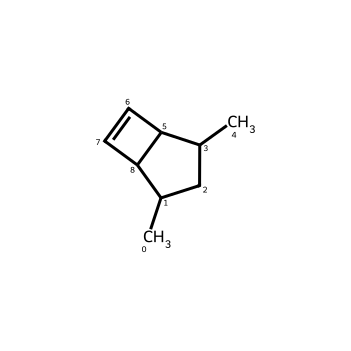 CC1CC(C)C2C=CC12